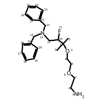 CC(C)(OCCOCCN)C(F)CN(Cc1ccccc1)Cc1ccccc1